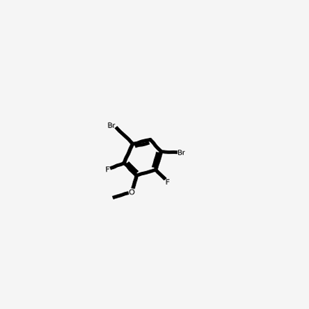 COc1c(F)c(Br)cc(Br)c1F